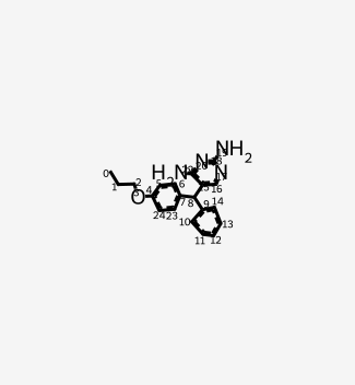 CCCOc1ccc(C(c2ccccc2)c2cnc(N)nc2N)cc1